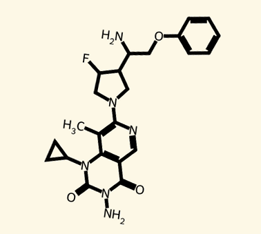 Cc1c(N2CC(F)C(C(N)COc3ccccc3)C2)ncc2c(=O)n(N)c(=O)n(C3CC3)c12